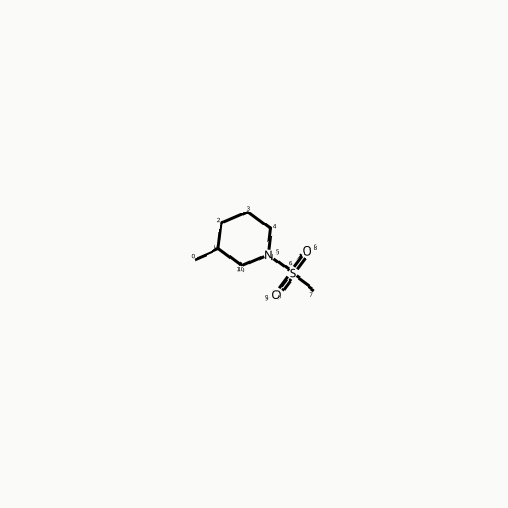 CC1CCCN(S(C)(=O)=O)C1